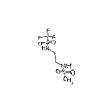 CS(=O)(=O)NCCNS(=O)(=O)C(F)(F)F